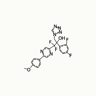 COc1ccc(-c2cnc(C(F)(F)C(O)(Cn3cnnn3)c3ccc(F)cc3F)cn2)cc1